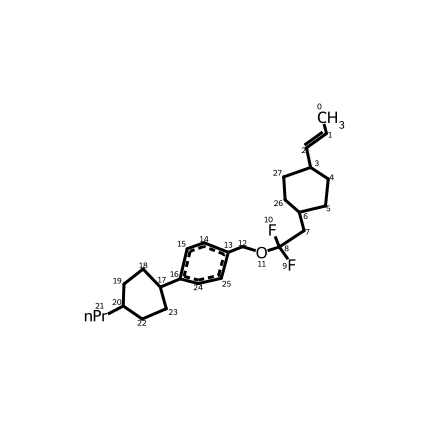 CC=CC1CCC(CC(F)(F)OCc2ccc(C3CCC(CCC)CC3)cc2)CC1